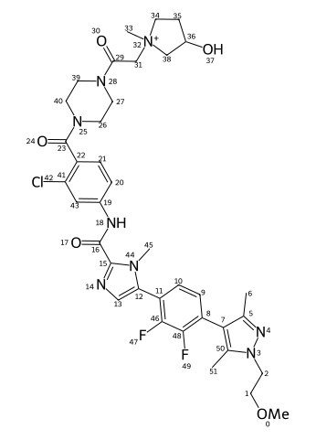 COCCn1nc(C)c(-c2ccc(-c3cnc(C(=O)Nc4ccc(C(=O)N5CCN(C(=O)C[N+]6(C)CCC(O)C6)CC5)c(Cl)c4)n3C)c(F)c2F)c1C